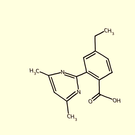 CCc1ccc(C(=O)O)c(-c2nc(C)cc(C)n2)c1